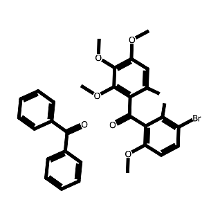 COc1cc(C)c(C(=O)c2c(OC)ccc(Br)c2C)c(OC)c1OC.O=C(c1ccccc1)c1ccccc1